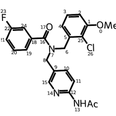 COc1cccc(CN(Cc2ccc(NC(C)=O)nc2)C(=O)c2cccc(F)c2)c1Cl